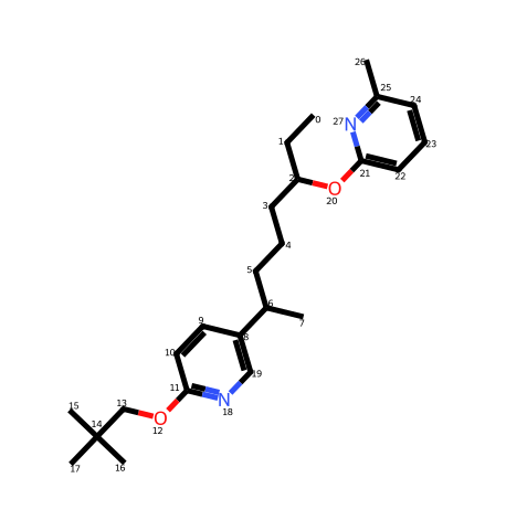 CCC(CCCC(C)c1ccc(OCC(C)(C)C)nc1)Oc1cccc(C)n1